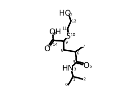 CC(C)NC(=O)C(C)CC(SCCO)C(=O)O